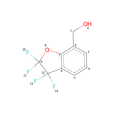 OCc1cccc2c1OC(F)(F)C2(F)F